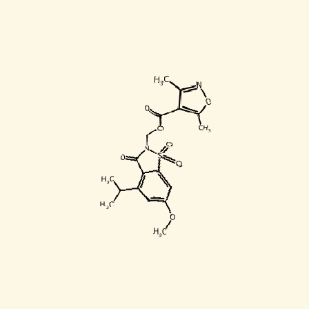 COc1cc(C(C)C)c2c(c1)S(=O)(=O)N(COC(=O)c1c(C)noc1C)C2=O